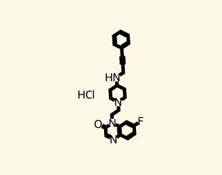 Cl.O=c1cnc2ccc(F)cc2n1CCN1CCC(NCC#Cc2ccccc2)CC1